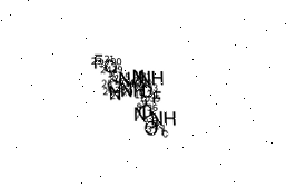 CCC(=O)Nc1cncc(-c2cc3c(-c4nc5c(-c6cccc(F)c6)ccnc5[nH]4)n[nH]c3cc2F)c1